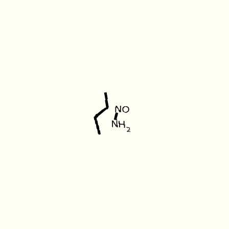 CCCC.NN=O